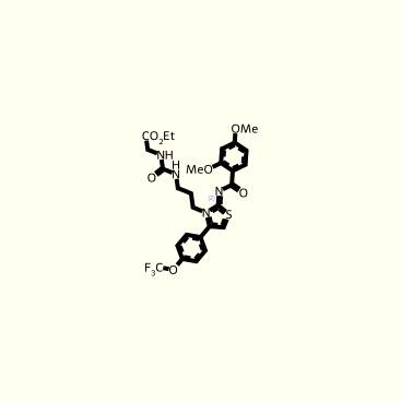 CCOC(=O)CNC(=O)NCCCn1c(-c2ccc(OC(F)(F)F)cc2)cs/c1=N\C(=O)c1ccc(OC)cc1OC